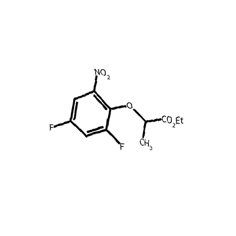 CCOC(=O)C(C)Oc1c(F)cc(F)cc1[N+](=O)[O-]